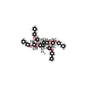 [C-]#[N+]c1c(Oc2ccc(-c3ccccc3)cc2)cccc1Oc1cc2c(cc1Oc1cccc(Oc3ccc(-c4ccccc4)cc3)c1[N+]#[C-])C1(CC(C)(C)c3cc(Oc4cccc(Oc5ccc(-c6ccccc6)cc5)c4C#N)c(Oc4cccc(Oc5ccc(-c6ccccc6)cc5)c4C#N)cc31)CC2(C)C